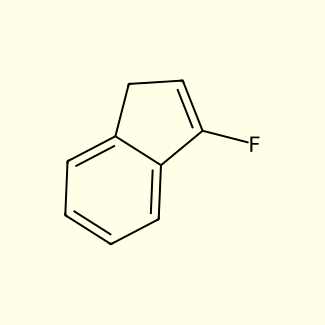 FC1=CCc2ccccc21